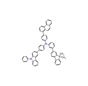 CC1(C)c2ccccc2-c2ccc(-c3cccc(N(c4ccc(-c5ccc6c(c5)c5ccccc5n6-c5ccccc5)cc4)c4ccc(-c5cccc6c5ccc5ccccc56)cc4)c3)cc21